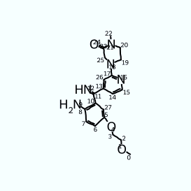 COCCOc1ccc(N)c(C(=N)c2ccnc(N3CCN(C)C(=O)C3)c2)c1